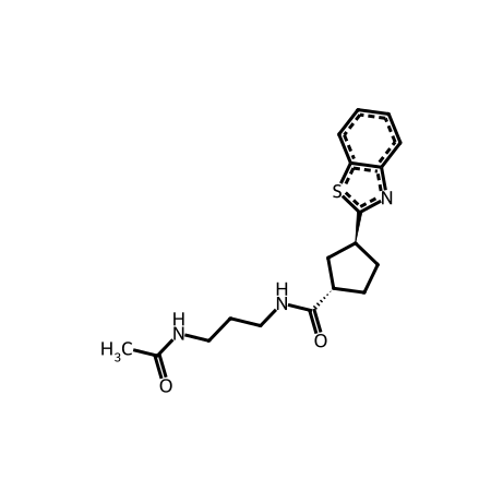 CC(=O)NCCCNC(=O)[C@H]1CC[C@H](c2nc3ccccc3s2)C1